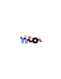 CNC(=S)NC(=O)Cc1ccc(OC)cc1